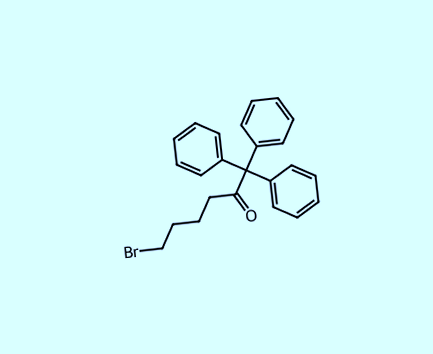 O=C(CCCCBr)C(c1ccccc1)(c1ccccc1)c1ccccc1